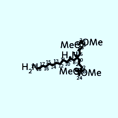 CO[Si](C)(CCCC(N)(CCCCCCCCCCCN)CCC[Si](C)(OC)OC)OC